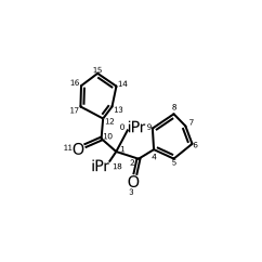 CC(C)C(C(=O)c1ccccc1)(C(=O)c1ccccc1)C(C)C